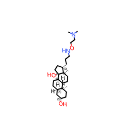 CN(C)CCONCCC[C@H]1CC[C@]2(O)[C@@H]3CC[C@@H]4C[C@@H](O)CC[C@]4(C)[C@H]3CC[C@]12C